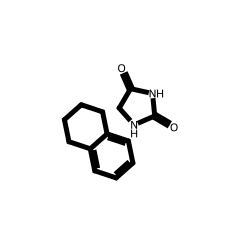 O=C1CNC(=O)N1.c1ccc2c(c1)CCCC2